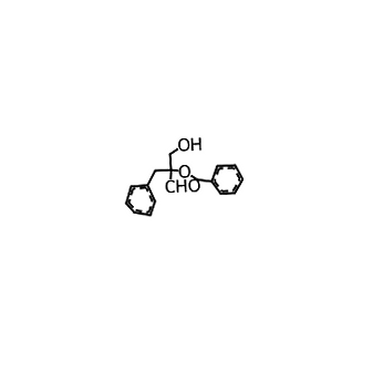 O=CC(CO)(Cc1ccccc1)OCc1ccccc1